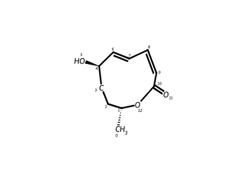 C[C@@H]1CC[C@@H](O)/C=C/C=C\C(=O)O1